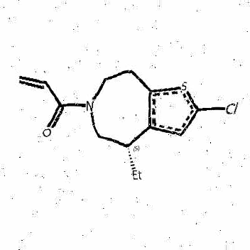 C=CC(=O)N1CCc2sc(Cl)cc2[C@H](CC)C1